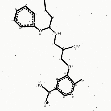 CCCC(NCC(O)COc1cc(C(O)O)cnc1C)Oc1ccccc1